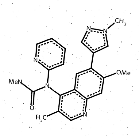 CNC(=O)N(c1ccccn1)c1c(C)cnc2cc(OC)c(-c3cnn(C)c3)cc12